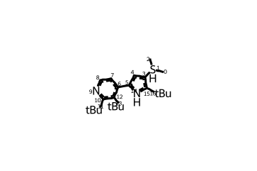 C[SH](C)c1cc(-c2ccnc(C(C)(C)C)c2C(C)(C)C)[nH]c1C(C)(C)C